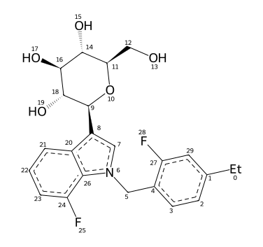 CCc1ccc(Cn2cc([C@@H]3O[C@H](CO)[C@@H](O)[C@H](O)[C@H]3O)c3cccc(F)c32)c(F)c1